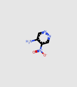 Nc1cnncc1[N+](=O)[O-]